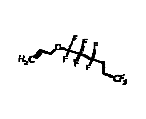 C=CCOC(F)(F)C(F)(F)C(F)(F)CCC(F)(F)F